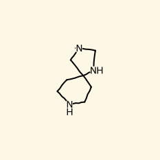 C1CC2(CCN1)C[N]CN2